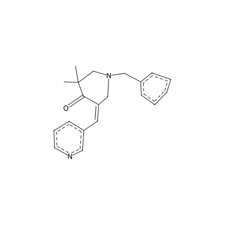 CC1(C)CN(Cc2ccccc2)CC(=Cc2cccnc2)C1=O